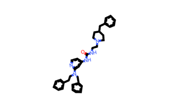 O=C(NCCN1CCC(Cc2ccccc2)CC1)Nc1ccnc(N(CCc2ccccc2)Cc2ccccc2)c1